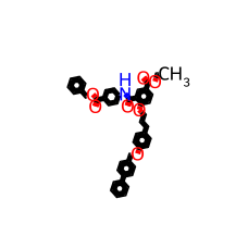 CCOC(=O)c1ccc(OCCCc2ccc(OCc3ccc(-c4ccccc4)cc3)cc2)c(C(=O)NC2CCC(C(=O)OCc3ccccc3)CC2)c1